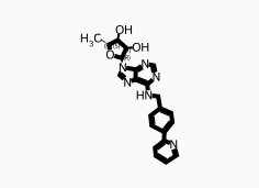 C[C@H]1O[C@@H](n2cnc3c(NCc4ccc(-c5ccccn5)cc4)ncnc32)[C@H](O)[C@@H]1O